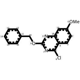 COc1ccc2c(Cl)nc(OCc3ccccc3)nc2c1